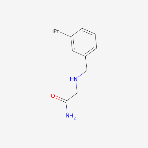 CC(C)c1cccc(CNCC(N)=O)c1